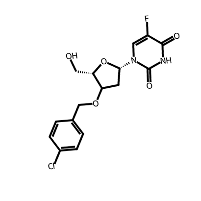 O=c1[nH]c(=O)n([C@@H]2CC(OCc3ccc(Cl)cc3)[C@H](CO)O2)cc1F